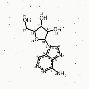 Nc1nncc2c1ncn2C1OC(CO)C(O)C1O